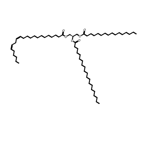 CCCCC/C=C\C/C=C\CCCCCCCCCCCC(=O)OC[C@@H](COC(=O)CCCCCCCCCCCCCCC)OC(=O)CCCCCCCCCCCCCCCCCCCC